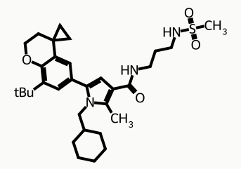 Cc1c(C(=O)NCCCNS(C)(=O)=O)cc(-c2cc(C(C)(C)C)c3c(c2)C2(CCO3)CC2)n1CC1CCCCC1